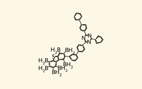 Bc1c(B)c(B)c2c(sc3c(B)c(B)c(-c4cccc(-c5ccc(-c6nc(-c7ccccc7)nc(-c7ccc(-c8ccccc8)cc7)n6)cc5)c4)c(B)c32)c1B